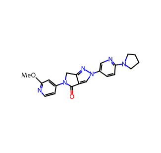 COc1cc(N2Cc3nn(-c4ccc(N5CCCC5)nc4)cc3C2=O)ccn1